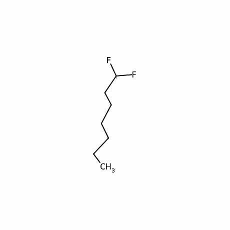 CCCCCC[C](F)F